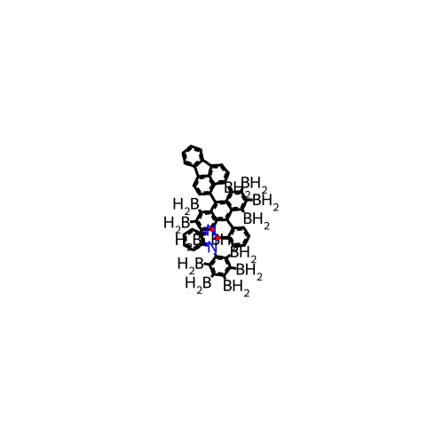 Bc1c(B)c(B)c(-n2c(-c3ccccc3-c3c4c(B)c(B)c(B)c(B)c4c(-c4ccc5c6c(cccc46)-c4ccccc4-5)c4c(B)c(B)c(B)c(B)c34)nc3ccccc32)c(B)c1B